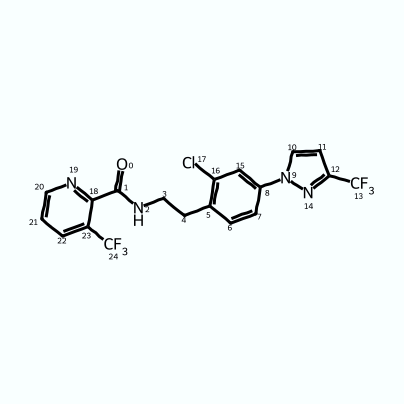 O=C(NCCc1ccc(-n2ccc(C(F)(F)F)n2)cc1Cl)c1ncccc1C(F)(F)F